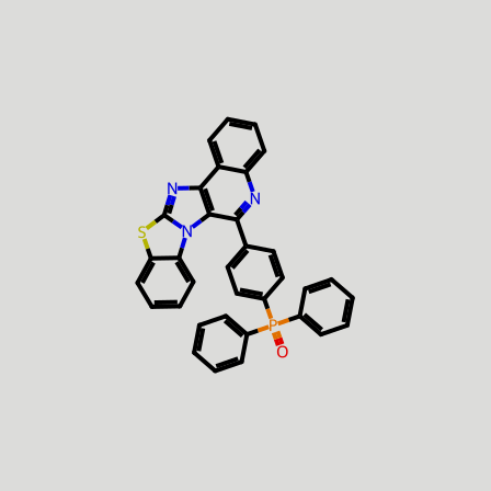 O=P(c1ccccc1)(c1ccccc1)c1ccc(-c2nc3ccccc3c3nc4sc5ccccc5n4c23)cc1